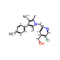 Cc1c(C#N)c(-c2ccc(C#N)cc2)c(C)n1Cc1cc(CO)c(Cl)cn1